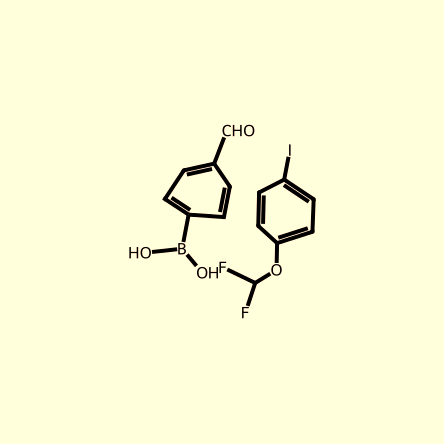 FC(F)Oc1ccc(I)cc1.O=Cc1ccc(B(O)O)cc1